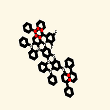 Fc1cc(F)c(N2c3cc4c(cc3B3c5ccccc5N(c5ccccc5)c5cc(N(c6ccccc6)c6ccccc6)cc2c53)B2c3ccccc3N(c3ccccc3)c3cc(N(c5ccc(-c6ccccc6)cc5)c5ccccc5-c5ccccc5)cc(c32)S4)c(-c2ccccc2)c1